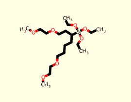 CCO[Si](OCC)(OCC)C(CCCCOCCOC)CCOCCOC